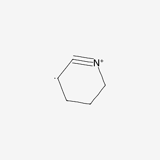 C1#[N+]CCC[CH]1